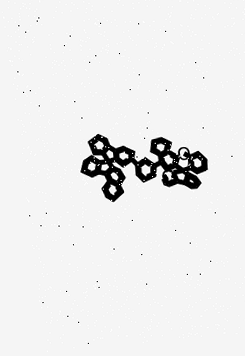 c1cc(-c2ccc3c(c2)C2(c4ccccc4-3)c3ccccc3-c3c2ccc2ccccc32)cc(-c2cc3c(c4ccccc24)Oc2ccccc2C32c3ccccc3-c3ccccc32)c1